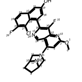 COc1cc(N2CC3CCC(C2)N3)c2cnc(-c3cc(O)cc4ccc(F)c(Cl)c34)c(F)c2n1